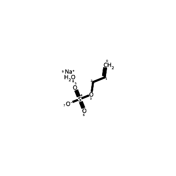 C=CCOS(=O)(=O)[O-].O.[Na+]